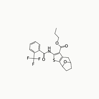 CCCOC(=O)c1c(NC(=O)c2ccccc2C(F)(F)F)sc2c1CC1CCC2O1